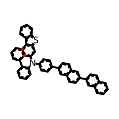 c1ccc(-c2ccccc2N(c2ccc(-c3ccc4cc(-c5ccc6ccccc6c5)ccc4c3)cc2)c2ccc3c(c2)sc2ccccc23)cc1